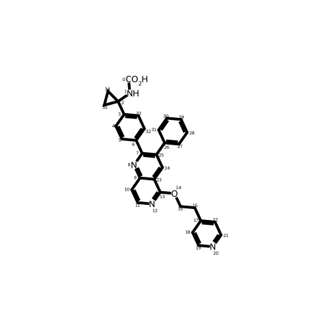 O=C(O)NC1(c2ccc(-c3nc4ccnc(OCCc5ccncc5)c4cc3-c3ccccc3)cc2)CC1